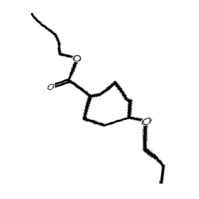 CCCOC(=O)C1CCC(OCCC)CC1